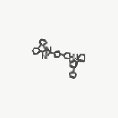 c1ccc(-c2cc3c4ccccc4n4c5ccc(-c6ccc(-c7cnc8c9ccccc9c9ccccc9c8n7)cc6)cc5c(c2)c34)cc1